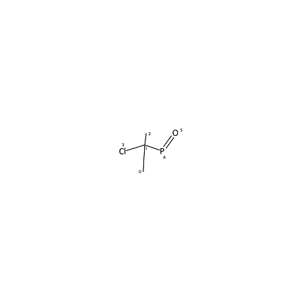 CC(C)(Cl)P=O